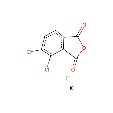 O=C1OC(=O)c2c1ccc(Cl)c2Cl.[F-].[K+]